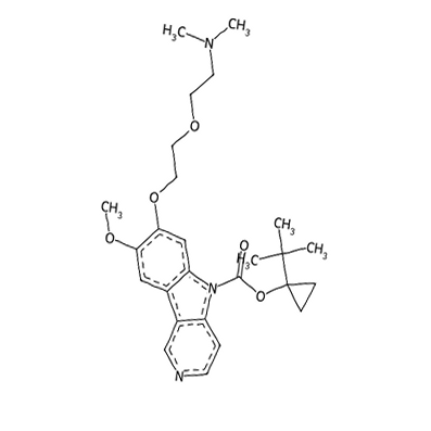 COc1cc2c3cnccc3n(C(=O)OC3(C(C)(C)C)CC3)c2cc1OCCOCCN(C)C